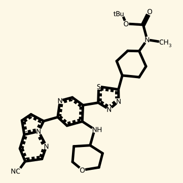 CN(C(=O)OC(C)(C)C)C1CCC(c2nnc(-c3cnc(-c4ccc5cc(C#N)cnn45)cc3NC3CCOCC3)s2)CC1